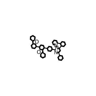 c1ccc(-c2cc(-c3ccccc3-c3ccccn3)nc(-c3ccc(-c4ccc(-c5cccc6c5oc5ccccc56)c5oc6ccccc6c45)cc3)n2)cc1